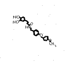 COc1ccc(COc2ccc(CCNC(=O)/C=C/c3ccc(O)c(O)c3)cc2)cc1